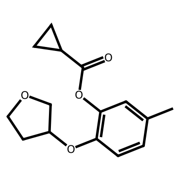 Cc1ccc(OC2CCOC2)c(OC(=O)C2CC2)c1